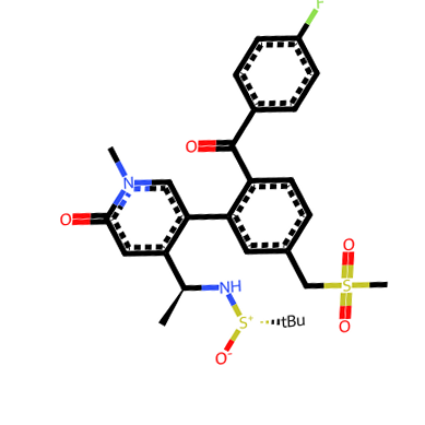 C[C@H](N[S@@+]([O-])C(C)(C)C)c1cc(=O)n(C)cc1-c1cc(CS(C)(=O)=O)ccc1C(=O)c1ccc(F)cc1